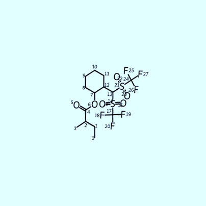 CCC(C)C(=O)OC1CCCCC1C(S(=O)(=O)C(F)(F)F)S(=O)(=O)C(F)(F)F